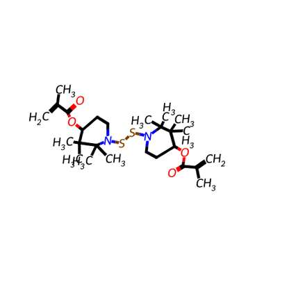 C=C(C)C(=O)OC1CCN(SSN2CCC(OC(=O)C(=C)C)C(C)(C)C2(C)C)C(C)(C)C1(C)C